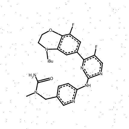 CCC(C)N1CCOc2c(F)cc(-c3nc(Nc4ccc(CN(C)C(N)=O)cn4)ncc3F)cc21